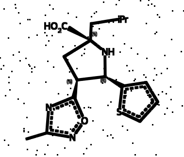 Cc1noc([C@H]2C[C@@](CC(C)C)(C(=O)O)N[C@H]2c2cccs2)n1